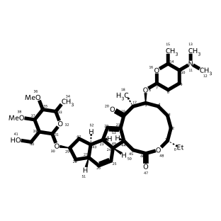 CC[C@H]1CCC[C@H](OC2CCC(N(C)C)C(C)O2)[C@@H](C)C(=O)C2=C[C@@H]3[C@@H](C=C[C@@H]4C[C@@H](OC5OC(C)C(OC)C(OC)C5CO)C[C@@H]34)[C@@H]2CC(=O)O1